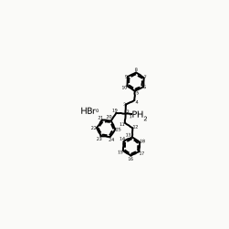 Br.PC(CCc1ccccc1)(CCc1ccccc1)Cc1ccccc1